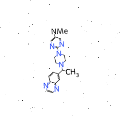 CNc1cnc(N2CCN(C(C)c3ccc4nccnc4c3)CC2)nc1